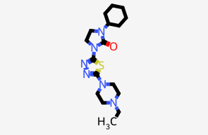 CCN1CCN(c2nnc(N3CCN(C4CCCCC4)C3=O)s2)CC1